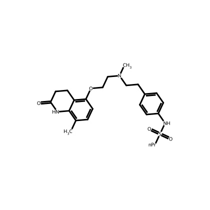 CCCS(=O)(=O)Nc1ccc(CCN(C)CCOc2ccc(C)c3c2CCC(=O)N3)cc1